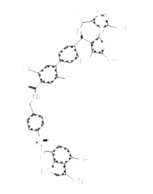 Cc1sc2c(c1C)C(c1ccc(-c3cc(Cl)c(C(=O)NCc4ccc(S(=O)(=O)Nc5ccc(C)c6c(C#N)c[nH]c56)cc4)cc3F)cc1)=N[C@@H](C)c1nnc(C)n1-2